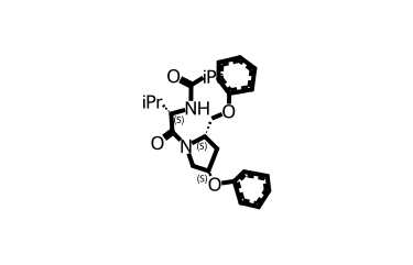 CC(C)C(=O)N[C@H](C(=O)N1C[C@@H](Oc2ccccc2)C[C@H]1COc1ccccc1)C(C)C